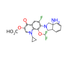 NC12C=CC=CC1CN(c1c(F)cc3c(=O)c(OC(=O)O)cn(C4CC4)c3c1OC(F)F)C2